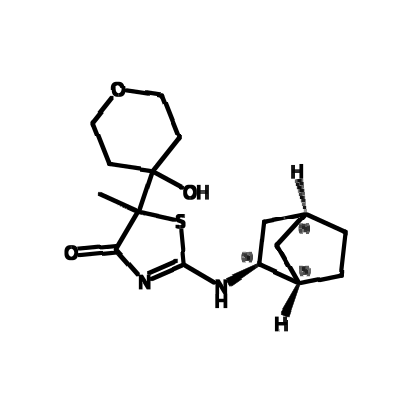 CC1(C2(O)CCOCC2)SC(N[C@H]2C[C@H]3CC[C@H]2C3)=NC1=O